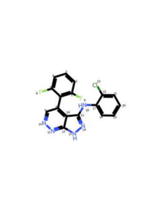 Fc1cccc(F)c1-c1cnnc2[nH]nc(Nc3ccccc3Cl)c12